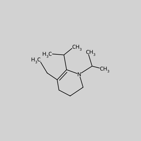 CCC1=C(C(C)C)N(C(C)C)CCC1